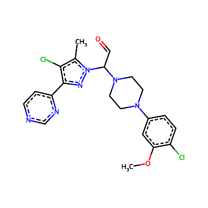 COc1cc(N2CCN(C(C=O)n3nc(-c4ccncn4)c(Cl)c3C)CC2)ccc1Cl